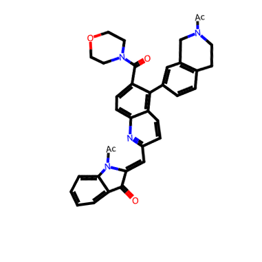 CC(=O)N1CCc2ccc(-c3c(C(=O)N4CCOCC4)ccc4nc(/C=C5/C(=O)c6ccccc6N5C(C)=O)ccc34)cc2C1